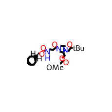 COCC(=O)OCC1CN(C(=O)CCNC(=O)OC[C@@H]2[C@@H]3CCC#CCC[C@@H]32)CCN1CC(=O)C(C)(C)C